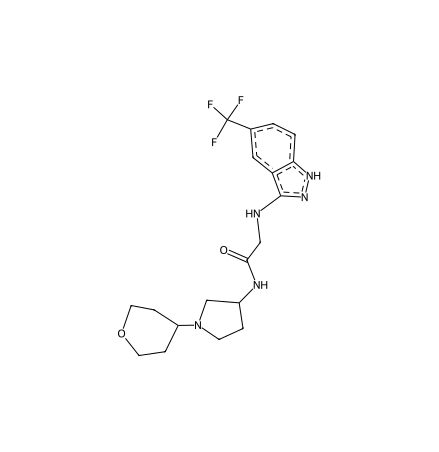 O=C(CNc1n[nH]c2ccc(C(F)(F)F)cc12)NC1CCN(C2CCOCC2)C1